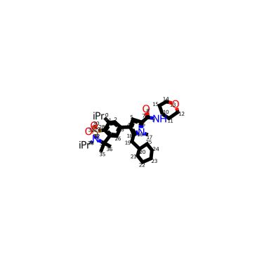 CC(C)c1cc(-c2cc(C(=O)NC3CCOCC3)n(C)c2CC2CCCCC2)cc2c1S(=O)(=O)N(C(C)C)C2(C)C